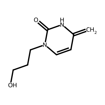 C=C1C=CN(CCCO)C(=O)N1